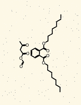 CC(=O)CC(=O)OC=O.CCCCCCCCOC(=O)c1ccccc1C(=O)OCCCCCCCC